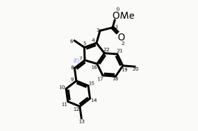 COC(=O)CC1=C(C)/C(=C/c2ccc(C)cc2)c2ccc(C)cc21